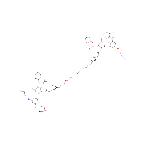 CCC1CC(C(=O)NCCN)C[C@@H](O[C@@H]2OC(CO)[C@H](O)C(O[C@@H](CC3CCCCC3)C(=O)O)C2NC(=O)Cn2cc(COCCOCCOCCOCCOCc3cn(CC(=O)NC4C(O[C@@H](CC5CCCCC5)C(=O)O)[C@@H](O)C(CO)O[C@H]4O[C@@H]4CC(C(=O)NCCN)CC(CC)C4O[C@@H]4OC(C)[C@@H](O)C(O)C4O)nn3)nn2)C1O[C@@H]1OC(C)[C@@H](O)C(O)C1O